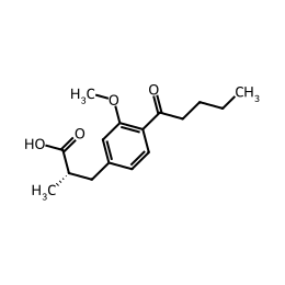 CCCCC(=O)c1ccc(C[C@H](C)C(=O)O)cc1OC